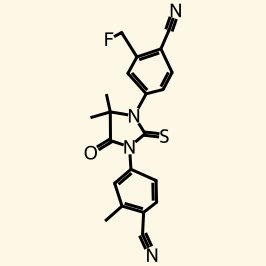 Cc1cc(N2C(=O)C(C)(C)N(c3ccc(C#N)c(CF)c3)C2=S)ccc1C#N